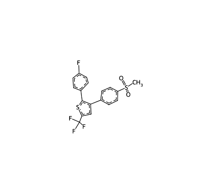 CS(=O)(=O)c1ccc(-c2cc(C(F)(F)F)sc2-c2ccc(F)cc2)cc1